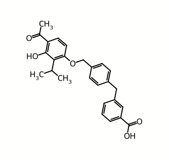 CC(=O)c1ccc(OCc2ccc(Cc3cccc(C(=O)O)c3)cc2)c(C(C)C)c1O